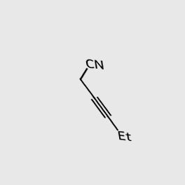 CCC#CCC#N